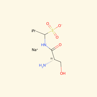 CC(C)C(NC(=O)[C@@H](N)CO)S(=O)(=O)[O-].[Na+]